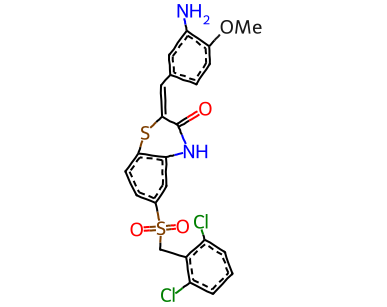 COc1ccc(/C=C2/Sc3ccc(S(=O)(=O)Cc4c(Cl)cccc4Cl)cc3NC2=O)cc1N